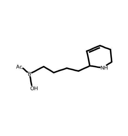 CC(=O)B(O)CCCCC1C=CCCN1